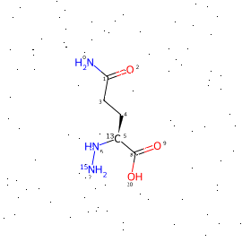 NC(=O)CC[13C@H](N[15NH2])C(=O)O